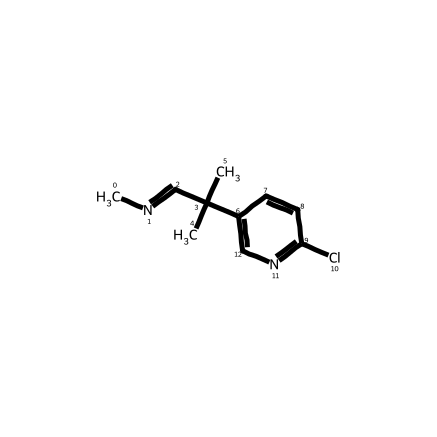 C/N=C/C(C)(C)c1ccc(Cl)nc1